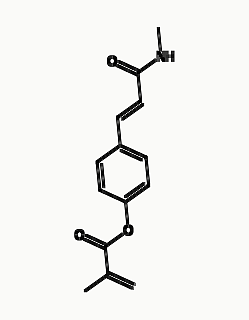 C=C(C)C(=O)Oc1ccc(/C=C/C(=O)NC)cc1